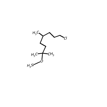 CC(CCCCl)CCC(C)(C)O[SiH3]